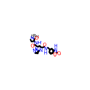 CC(C)(C)N1CC[C@H](NC(=O)c2cc(C(=O)NCc3ccc4oc(=O)[nH]c4c3)nc3ccnn23)C1=O